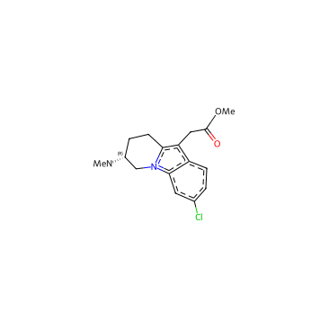 CN[C@@H]1CCc2c(CC(=O)OC)c3ccc(Cl)cc3n2C1